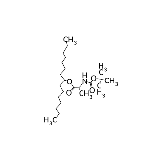 CCCCCCCC(CCCCCCC)OC(=O)C(C)NC(=O)OC(C)(C)C